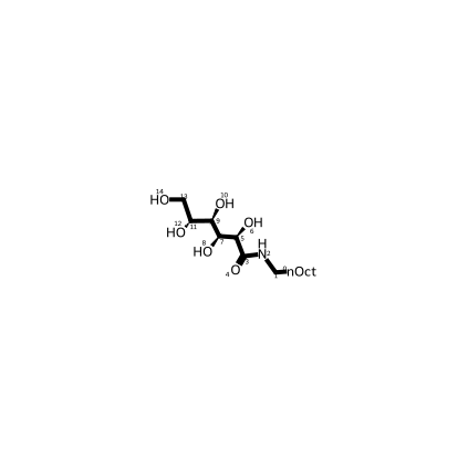 CCCCCCCCCNC(=O)[C@H](O)[C@@H](O)[C@H](O)[C@H](O)CO